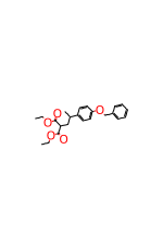 CCOC(=O)C(CC(C)c1ccc(OCc2ccccc2)cc1)C(=O)OCC